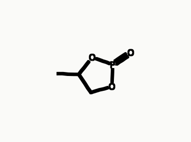 CC1CO[P](=O)O1